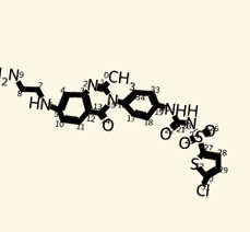 Cc1nc2cc(NCCN)ccc2c(=O)n1-c1ccc(NC(=O)NS(=O)(=O)c2ccc(Cl)s2)cc1